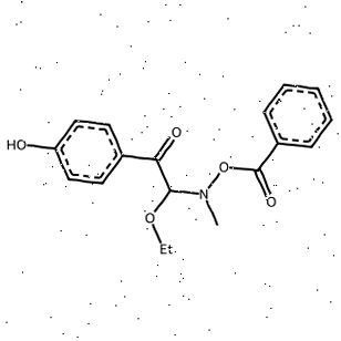 CCOC(C(=O)c1ccc(O)cc1)N(C)OC(=O)c1ccccc1